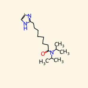 CC(C)N(C(=O)CCCCCCCc1n[c]c[nH]1)C(C)C